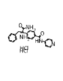 Cl.Cl.NC(=O)[C@](N)(Cc1ccccc1)c1ccc(C(=O)Nc2ccncc2)cc1